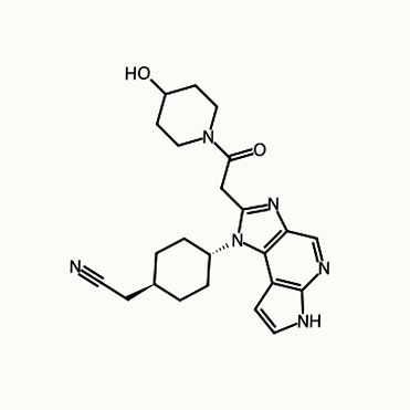 N#CC[C@H]1CC[C@H](n2c(CC(=O)N3CCC(O)CC3)nc3cnc4[nH]ccc4c32)CC1